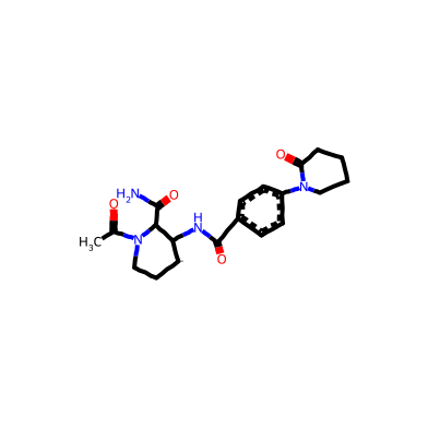 CC(=O)N1CC[CH]C(NC(=O)c2ccc(N3CCCCC3=O)cc2)C1C(N)=O